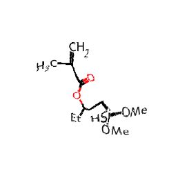 C=C(C)C(=O)OC(CC)C[SiH](OC)OC